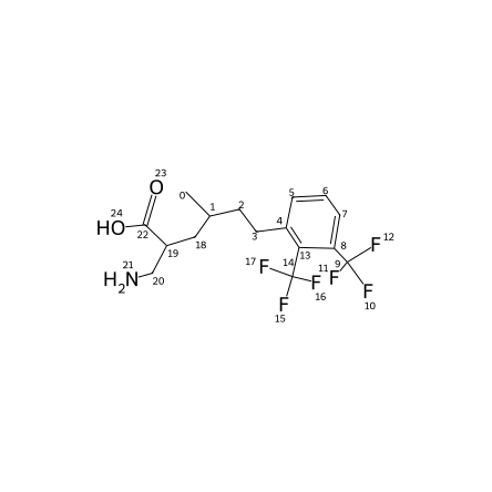 CC(CCc1cccc(C(F)(F)F)c1C(F)(F)F)CC(CN)C(=O)O